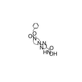 O=C(NO)c1cnc(N2CCCN(C(=O)OCc3ccccc3)CC2)nc1